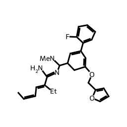 C\C=C/C=C(CC)/C(N)=N/C(NC)C1C=C(c2ccccc2F)C=C(OCc2ccco2)C1